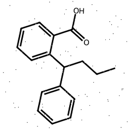 CCCC(c1ccccc1)c1ccccc1C(=O)O